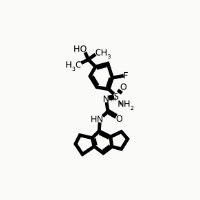 CC(C)(O)c1ccc([S@@](N)(=O)=NC(=O)Nc2c3c(cc4c2CCC4)CCC3)c(F)c1